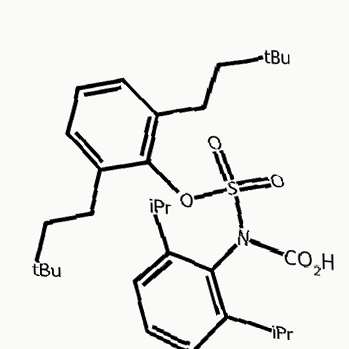 CC(C)c1cccc(C(C)C)c1N(C(=O)O)S(=O)(=O)Oc1c(CCC(C)(C)C)cccc1CCC(C)(C)C